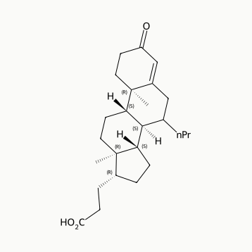 CCCC1CC2=CC(=O)CC[C@]2(C)[C@H]2CC[C@]3(C)[C@@H](CCC(=O)O)CC[C@H]3[C@H]12